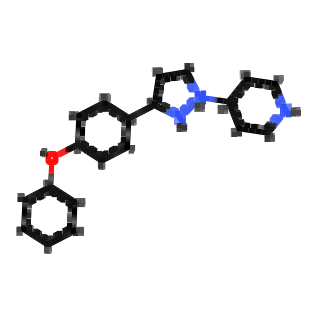 c1ccc(Oc2ccc(-c3ccn(-c4ccncc4)n3)cc2)cc1